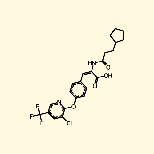 O=C(CCC1CCCC1)N/C(=C/c1ccc(Oc2ncc(C(F)(F)F)cc2Cl)cc1)C(=O)O